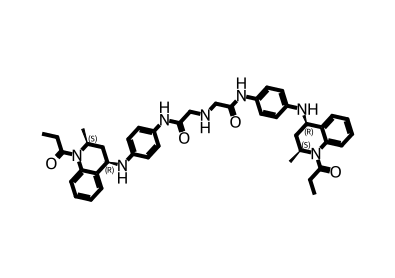 CCC(=O)N1c2ccccc2[C@H](Nc2ccc(NC(=O)CNCC(=O)Nc3ccc(N[C@@H]4C[C@H](C)N(C(=O)CC)c5ccccc54)cc3)cc2)C[C@@H]1C